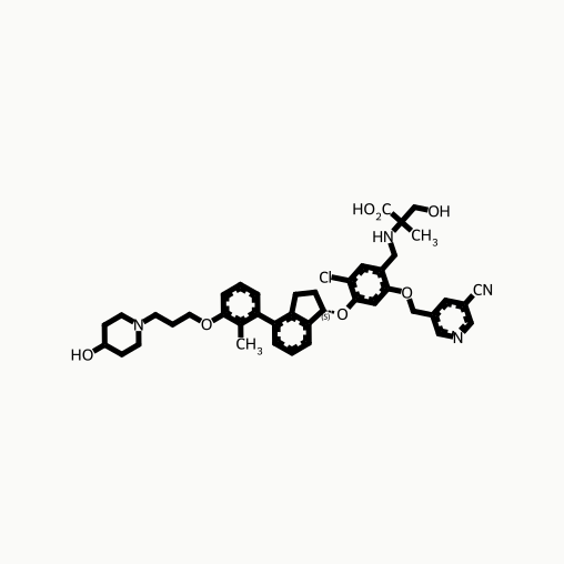 Cc1c(OCCCN2CCC(O)CC2)cccc1-c1cccc2c1CC[C@@H]2Oc1cc(OCc2cncc(C#N)c2)c(CNC(C)(CO)C(=O)O)cc1Cl